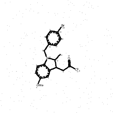 COc1ccc2c(c1)C(CC(=O)C(F)(F)F)C(C)N2Cc1ccc(Br)cc1